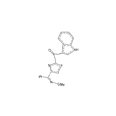 CO/N=C(\c1csc(C(=O)c2c[nH]c3ccccc23)n1)C(C)C